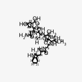 CC[C@H](C)[C@H](NC(=O)CNC(=O)[C@@H](N)Cc1c[nH]c2ccccc12)C(=O)N[C@H](C)C(=O)N[C@@H](CS)C(=O)N[C@@H](CC(N)=O)C(=O)N1C[C@H](O)C[C@H]1C(=O)O